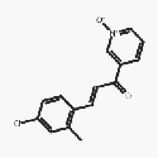 Cc1cc(Cl)ccc1C=CC(=O)c1ccc[n+]([O-])c1